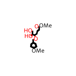 COC(=O)C=CCC(OCc1ccc(OC)cc1)C(O)CO